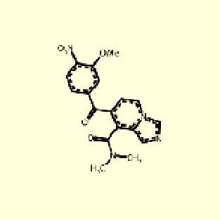 COc1cc(C(=O)c2ccn3cncc3c2C(=O)N(C)C)ccc1[N+](=O)[O-]